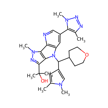 Cc1nnn(C)c1-c1cnc2c3c(c(C(C)(C)O)nn3C)n(C(c3cc(C)n(C)c3)C3CCOCC3)c2c1